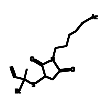 C=CC(C)(CC)SC1CC(=O)N(CCCCCC(C)=O)C1=O